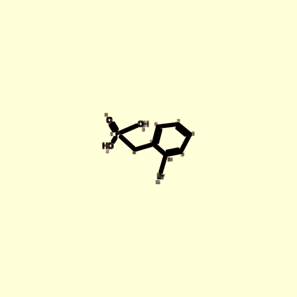 O=P(O)(O)Cc1ccccc1Br